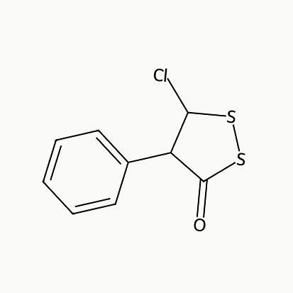 O=C1SSC(Cl)C1c1ccccc1